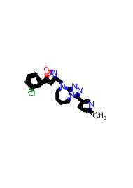 Cc1ccc(-c2nnc3n2CCCCN3Cc2cc(-c3cccc(Cl)c3)on2)cn1